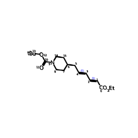 CCOC(=O)/C=C/C=C/CC1CCN(C(=O)OC(C)(C)C)CC1